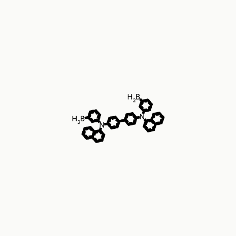 Bc1cccc(N(c2ccc(-c3ccc(N(c4cccc(B)c4)c4cccc5ccccc45)cc3)cc2)c2cccc3ccccc23)c1